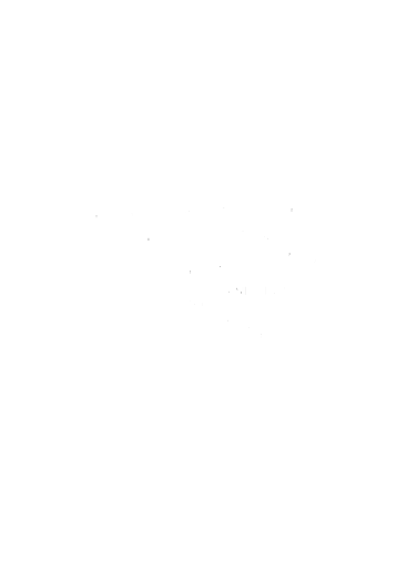 CS(=O)(=O)Nc1cc(-c2ccccc2)ccc1C(=O)C1=CC=CB1